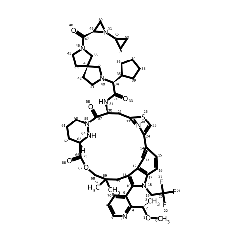 CO[C@@H](C)c1ncccc1-c1c2c3cc(ccc3n1CC(F)(F)F)-c1csc(n1)C[C@H](NC(=O)[C@H](C1CCCC1)N1CC[C@]3(CCN(C(=O)[C@H]4CN4C4CC4)C3)C1)C(=O)N1CCC[C@H](N1)C(=O)OCC(C)(C)C2